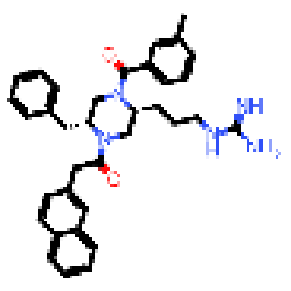 Cc1cccc(C(=O)N2C[C@@H](Cc3ccccc3)N(C(=O)Cc3ccc4ccccc4c3)C[C@@H]2CCCNC(=N)N)c1